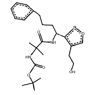 CC(C)(C)OC(=O)NC(C)(C)C(=O)NC(CCCc1ccccc1)c1nocc1CCO